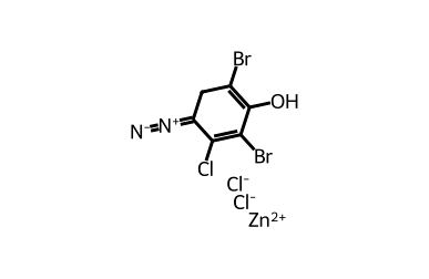 [Cl-].[Cl-].[N-]=[N+]=C1CC(Br)=C(O)C(Br)=C1Cl.[Zn+2]